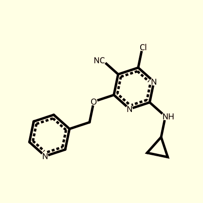 N#Cc1c(Cl)nc(NC2CC2)nc1OCc1cccnc1